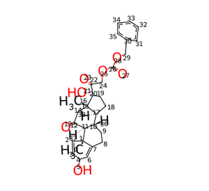 C[C@]12C=CC(O)C=C1CC[C@@H]1[C@@H]2C(=O)C[C@@]2(C)[C@H]1CC[C@]2(O)C(=O)COC(=O)OCc1ccccc1